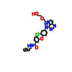 CC(C)(C)CNC(=O)c1cccc(Oc2ccc(Nc3ncnc4ccn(CCOCCO)c34)cc2Cl)c1